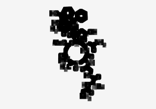 C=C1CC(OC)O[C@](CCCSC(c2ccccc2)(c2ccccc2)c2ccccc2)(N2C[C@H](O)C[C@H]2C(=O)NC(C[C@@H](O)CO)C(N)=O)C(=O)[C@H](CC(N)=O)NC(=O)C(NC(=O)CNC(=O)[C@@H](NC(=O)CN)[C@@H](C)CC)C[S+]([O-])C(=C)N1